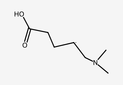 CN(C)C[CH]CCC(=O)O